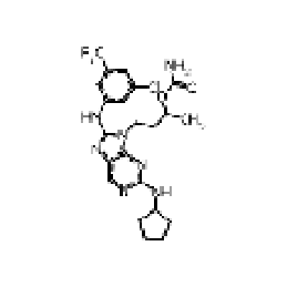 CC(CCn1c(Nc2cc(Cl)cc(C(F)(F)F)c2)nc2cnc(NC3CCCC3)nc21)OC(N)=O